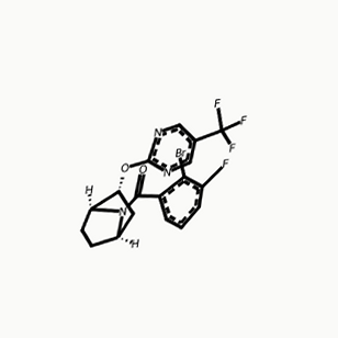 O=C(c1cccc(F)c1Br)N1[C@@H]2CC[C@H]1[C@H](Oc1ncc(C(F)(F)F)cn1)C2